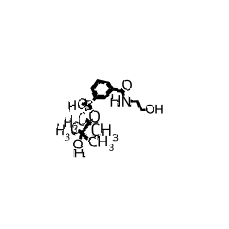 CC(C)(O)C(C)(C)OB(O)c1cccc(C(=O)NCCO)c1